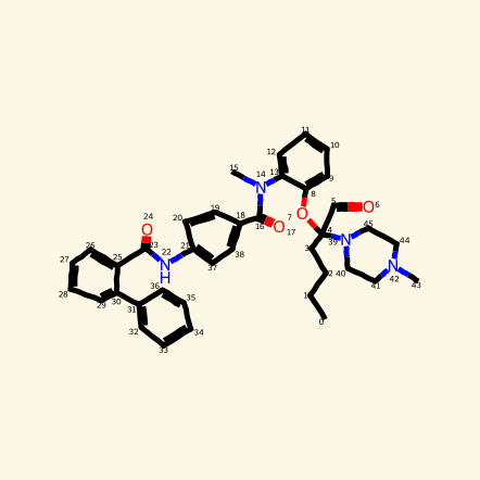 CCCCC(C=O)(Oc1ccccc1N(C)C(=O)c1ccc(NC(=O)c2ccccc2-c2ccccc2)cc1)N1CCN(C)CC1